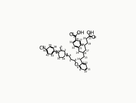 CC1CN(CCCOc2ccccc2CCC(CCCCC(=O)O)Cc2ccc(C(=O)O)cc2)CCN1c1ccc(Cl)cc1